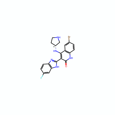 O=c1[nH]c2ccc(Br)cc2c(N[C@@H]2CCNC2)c1-c1nc2ccc(F)cc2[nH]1